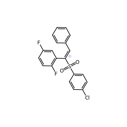 O=S(=O)(/C(=C/c1ccccc1)c1cc(F)ccc1F)c1ccc(Cl)cc1